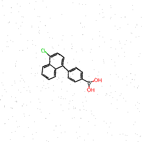 OB(O)c1ccc(-c2ccc(Cl)c3ccccc23)cc1